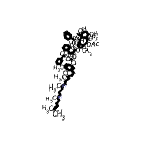 CC(=O)O[C@@H]1C(=O)[C@@]2(C)[C@H](O)C[C@@H]3OC[C@]3(OC(C)=O)[C@@H]2[C@@H](OC(=O)c2ccccc2)[C@@]2(O)C[C@@H](OC(=O)[C@@H](OC(=O)Oc3cc(C)c4c(c3)CC[C@@](C)(CC/C=C(\C)CC/C=C(\C)CCC=C(C)C)O4)[C@H](NC(=O)c3ccccc3)c3ccccc3)C(C)=C1C2(C)C